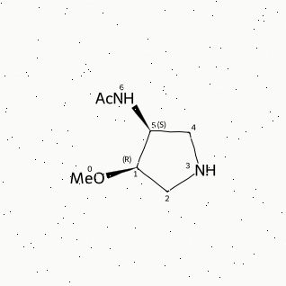 CO[C@@H]1CNC[C@@H]1NC(C)=O